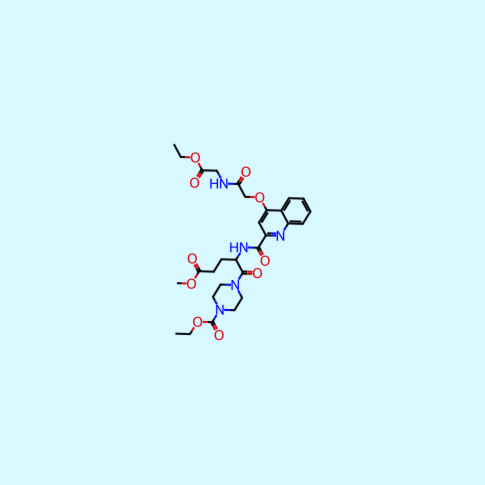 CCOC(=O)CNC(=O)COc1cc(C(=O)NC(CCC(=O)OC)C(=O)N2CCN(C(=O)OCC)CC2)nc2ccccc12